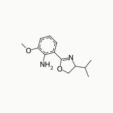 COc1cccc(C2=NC(C(C)C)CO2)c1N